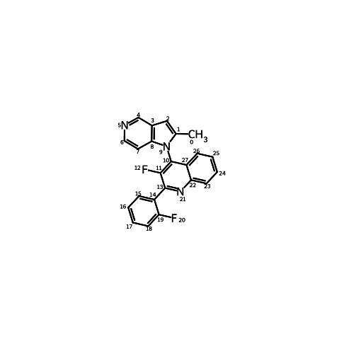 Cc1cc2cnccc2n1-c1c(F)c(-c2ccccc2F)nc2ccccc12